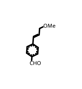 COCC=Cc1ccc(C=O)cc1